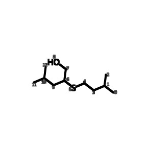 CC(C)CCSC(CO)CC(C)C